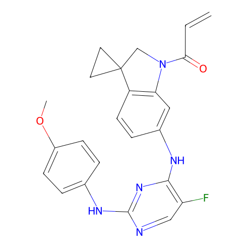 C=CC(=O)N1CC2(CC2)c2ccc(Nc3nc(Nc4ccc(OC)cc4)ncc3F)cc21